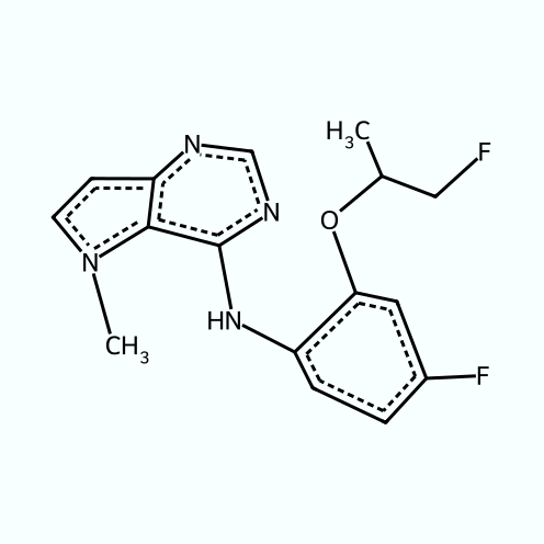 CC(CF)Oc1cc(F)ccc1Nc1ncnc2ccn(C)c12